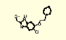 CCn1c(CO)nc2cc(Cl)c(OCCc3ccccc3)cc21